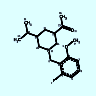 COc1cccc(F)c1CN1CC(C(C)=O)CC(C(C)C)C1